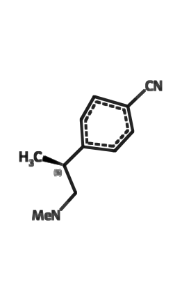 CNC[C@@H](C)c1ccc(C#N)cc1